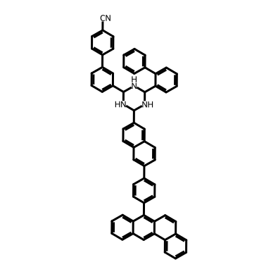 N#Cc1ccc(-c2cccc(C3NC(c4ccc5cc(-c6ccc(-c7c8ccccc8cc8c7ccc7ccccc78)cc6)ccc5c4)NC(c4ccccc4-c4ccccc4)N3)c2)cc1